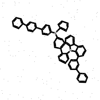 c1ccc(-c2ccc(-c3ccc(N(c4ccccc4)c4ccc(-c5ccccc5-n5c6ccccc6c6cccc(-c7cccc(-c8ccccc8)c7)c65)cc4)cc3)cc2)cc1